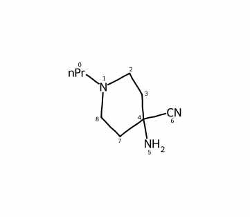 CCCN1CCC(N)(C#N)CC1